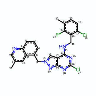 Cc1cnc2cccc(Cn3cc4c(NCc5c(Cl)ccc(C)c5F)nc(Cl)nc4n3)c2c1